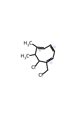 C\C1=C/C=C\C=C(\CCl)C(Cl)C1C